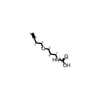 C#CCCOCCCNC(=O)O